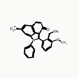 COc1cccc(-c2c3c4c(cc(C)cc4n2-c2ccccc2)C=CC3=O)c1CO